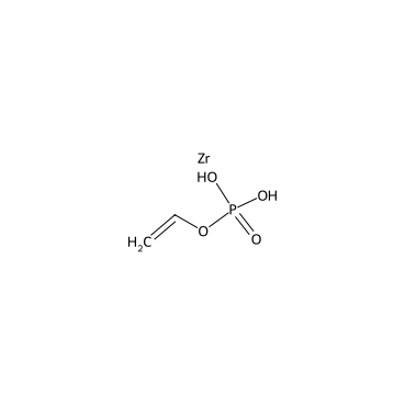 C=COP(=O)(O)O.[Zr]